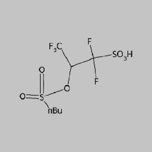 CCCCS(=O)(=O)OC(C(F)(F)F)C(F)(F)S(=O)(=O)O